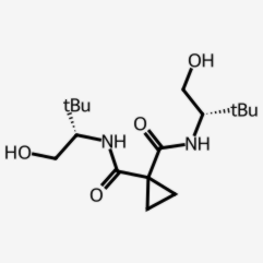 CC(C)(C)[C@@H](CO)NC(=O)C1(C(=O)N[C@H](CO)C(C)(C)C)CC1